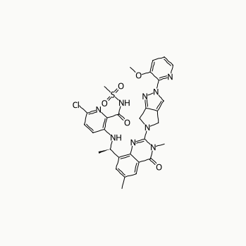 COc1cccnc1-n1cc2c(n1)CN(c1nc3c([C@@H](C)Nc4ccc(Cl)nc4C(=O)NS(C)(=O)=O)cc(C)cc3c(=O)n1C)C2